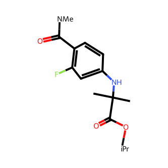 CNC(=O)c1ccc(NC(C)(C)C(=O)OC(C)C)cc1F